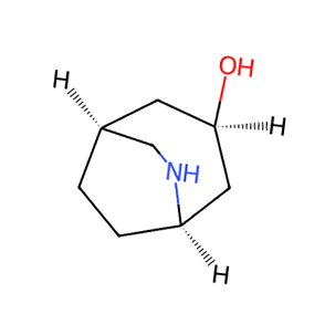 O[C@@H]1C[C@@H]2CC[C@H](C1)NC2